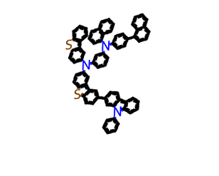 c1ccc(-n2c3ccccc3c3ccc(-c4ccc5sc6ccc(N(c7cccc(N(c8ccc(-c9cccc%10ccccc9%10)cc8)c8cccc9ccccc89)c7)c7ccc8sc9ccccc9c8c7)cc6c5c4)cc32)cc1